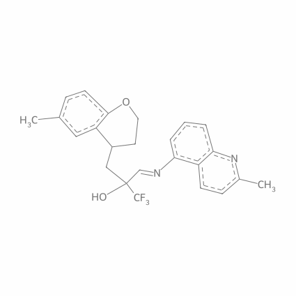 Cc1ccc2c(c1)C(CC(O)(C=Nc1cccc3nc(C)ccc13)C(F)(F)F)CCO2